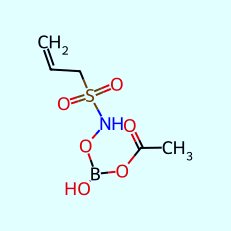 C=CCS(=O)(=O)NOB(O)OC(C)=O